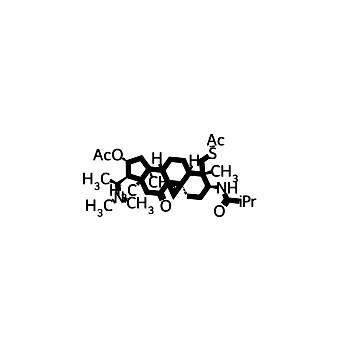 CC(=O)O[C@@H]1C[C@@]2(C)[C@@H]3CC[C@H]4[C@](C)(CSC(C)=O)[C@@H](NC(=O)C(C)C)CC[C@@]45CC35C(=O)C[C@]2(C)[C@H]1[C@H](C)N(C)C